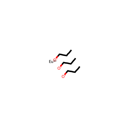 CCC[O-].CCC[O-].CCC[O-].[Eu+3]